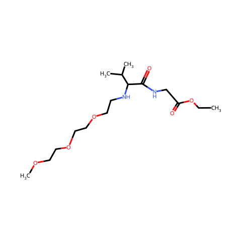 CCOC(=O)CNC(=O)C(NCCOCCOCCOC)C(C)C